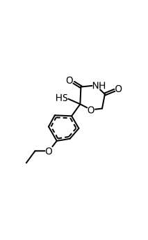 CCOc1ccc(C2(S)OCC(=O)NC2=O)cc1